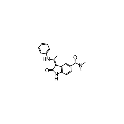 C/C(Nc1ccccc1)=C1/C(=O)Nc2ccc(C(=O)N(C)C)cc21